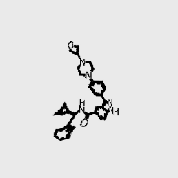 O=C(NC(c1ccccc1)C1CC1)c1ccc2[nH]nc(-c3ccc(N4CCN(C5COC5)CC4)cc3)c2c1